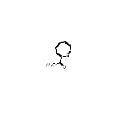 COC(=O)C1=CC=CC=CC=N1